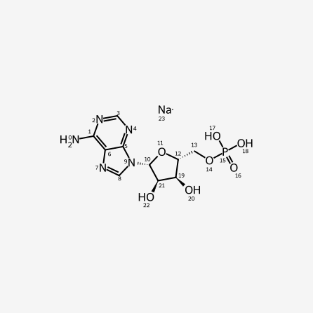 Nc1ncnc2c1ncn2[C@@H]1O[C@H](COP(=O)(O)O)[C@@H](O)[C@H]1O.[Na]